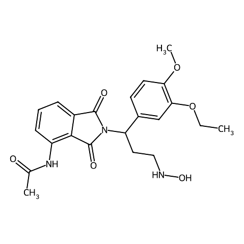 CCOc1cc(C(CCNO)N2C(=O)c3cccc(NC(C)=O)c3C2=O)ccc1OC